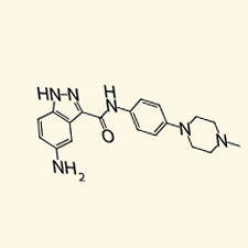 CN1CCN(c2ccc(NC(=O)c3n[nH]c4ccc(N)cc34)cc2)CC1